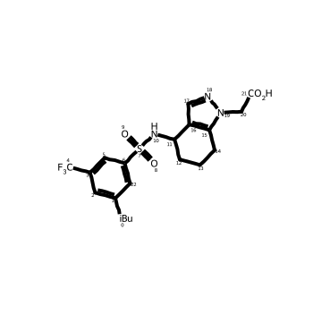 CCC(C)c1cc(C(F)(F)F)cc(S(=O)(=O)NC2CCCc3c2cnn3CC(=O)O)c1